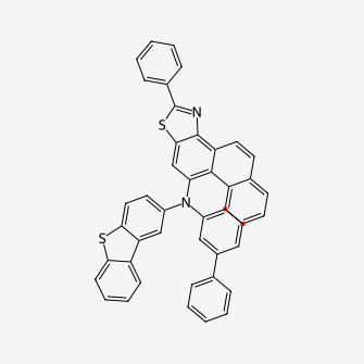 c1ccc(-c2cccc(N(c3ccc4sc5ccccc5c4c3)c3cc4sc(-c5ccccc5)nc4c4ccc5ccccc5c34)c2)cc1